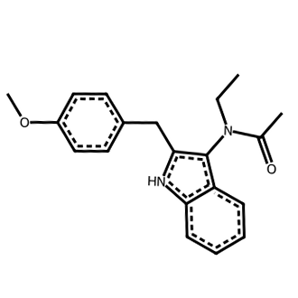 CCN(C(C)=O)c1c(Cc2ccc(OC)cc2)[nH]c2ccccc12